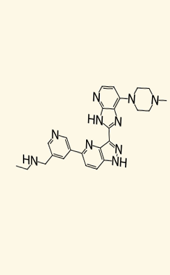 CCNCc1cncc(-c2ccc3[nH]nc(-c4nc5c(N6CCN(C)CC6)ccnc5[nH]4)c3n2)c1